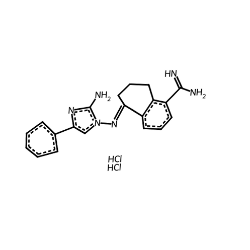 Cl.Cl.N=C(N)c1cccc2c1CCCC2=Nn1cc(-c2ccccc2)nc1N